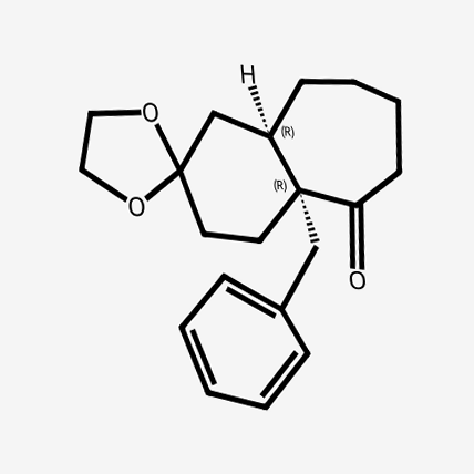 O=C1CCCC[C@@H]2CC3(CC[C@]12Cc1ccccc1)OCCO3